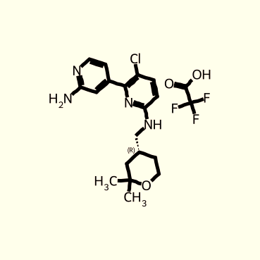 CC1(C)C[C@H](CNc2ccc(Cl)c(-c3ccnc(N)c3)n2)CCO1.O=C(O)C(F)(F)F